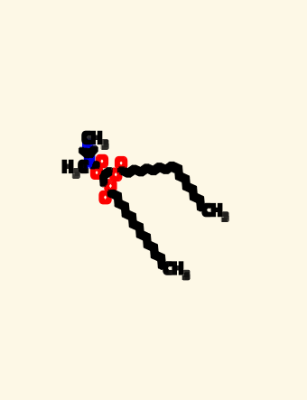 CCCCCCCC/C=C\CCCCCCCC(=O)OCC(COC(=O)CCCCCCCCCCCCCCC)OC(=O)N(C)C1CN(C)C1